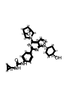 O=C(Nc1ccc(-c2nc(N3CC4CCC(C3)O4)c3cnn([C@H]4CC[C@H](O)CC4)c3n2)cc1)NC1CC1